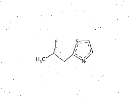 CC(F)Cc1nccs1